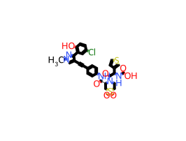 Cn1cc(C#Cc2ccc(NC(=O)[C@H]3CS(=O)(=O)CCN3C(=O)C(NC(=O)O)c3ccsc3)cc2)c(-c2cc(Cl)ccc2O)n1